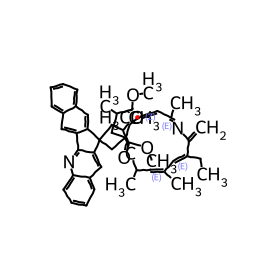 C=C1/N=C(C)/C=C\C(C)C(CC(C)C(=O)OC)(CC2(CC(C)C(=O)OC)c3cc4ccccc4cc3-c3nc4ccccc4cc32)CC(C)/C=C(C)/C=C/1CC